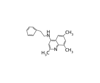 Cc1cc(C)c2nc(C)cc(NCCc3ccccc3)c2c1